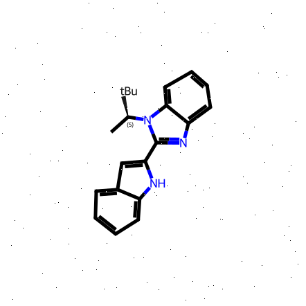 C[C@H](n1c(-c2cc3ccccc3[nH]2)nc2ccccc21)C(C)(C)C